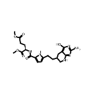 COC(=O)CC[C@@H](NC(=O)c1ccc(CCC2CNc3nc(N)nc(O)c3C2)[nH]1)C(=O)OC